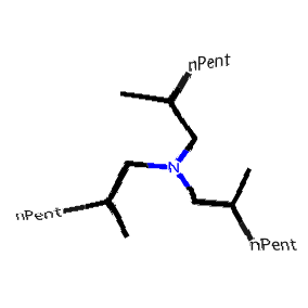 CCCCCC(C)CN(CC(C)CCCCC)CC(C)CCCCC